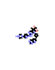 CC(=O)c1c(C)c2cnc(Nc3ccc(N4CCNCC4)cn3)nc2n(C2CCCC2)c1=O.c1cnc2ncncc2c1